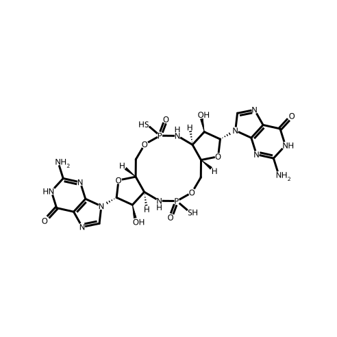 Nc1nc2c(ncn2[C@@H]2O[C@@H]3COP(=O)(S)N[C@H]4[C@@H](O)[C@H](n5cnc6c(=O)[nH]c(N)nc65)O[C@@H]4COP(=O)(S)N[C@H]3[C@H]2O)c(=O)[nH]1